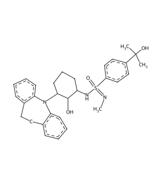 CN=S(=O)(NC1CCCC(N2c3ccccc3CCc3ccccc32)C1O)c1ccc(C(C)(C)O)cc1